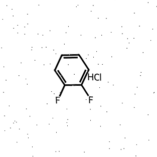 Cl.Fc1ccccc1F